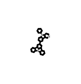 c1ccc(-n2c3ccncc3c3cc(-c4cc5c6ccccc6n6c7ccccc7c(c4)c56)ccc32)cc1